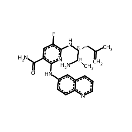 C=C(C)C[C@@H](Nc1nc(Nc2ccc3ncccc3c2)c(C(N)=O)cc1F)[C@H](C)N